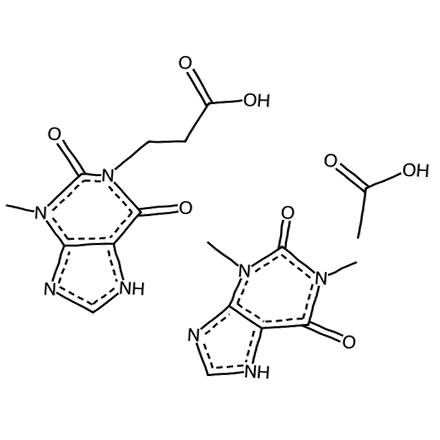 CC(=O)O.Cn1c(=O)c2[nH]cnc2n(C)c1=O.Cn1c(=O)n(CCC(=O)O)c(=O)c2[nH]cnc21